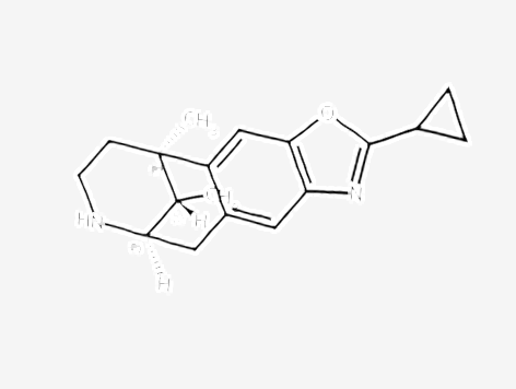 C[C@@H]1[C@H]2Cc3cc4nc(C5CC5)oc4cc3[C@]1(C)CCN2